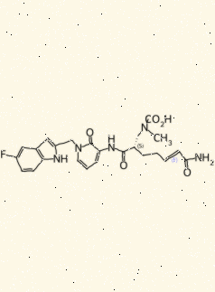 CN(C[C@H](CC/C=C/C(N)=O)C(=O)Nc1cccn(Cc2cc3cc(F)ccc3[nH]2)c1=O)C(=O)O